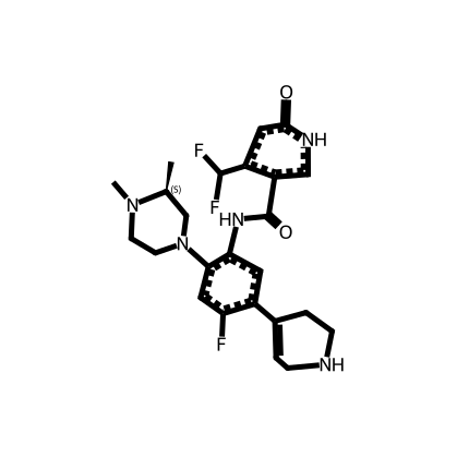 C[C@H]1CN(c2cc(F)c(C3=CCNCC3)cc2NC(=O)c2c[nH]c(=O)cc2C(F)F)CCN1C